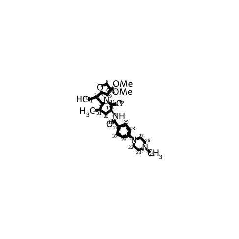 C#CC1C2OCC(OC)(OC)C2N2C(=O)[C@@H](NC(=O)c3ccc(N4CCN(C)CC4)cc3)CC(C)C12